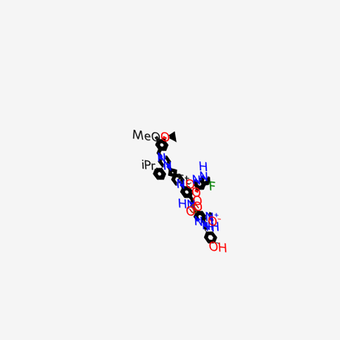 CCOc1nc2[nH]cc(F)c2cc1Oc1cc(N2CCC3(CC2)CC(N2CCN(Cc4ccc(OC5CC5)c(OC)c4)C[C@H]2c2ccccc2C(C)C)C3)ccc1C(=O)NS(=O)(=O)c1cnc(NC[C@H]2CC[C@](C)(O)CC2)c([NH+](C)[O-])c1